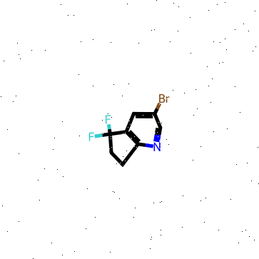 FC1(F)CCc2ncc(Br)cc21